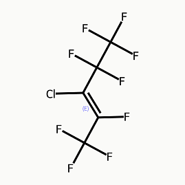 F/C(=C(/Cl)C(F)(F)C(F)(F)F)C(F)(F)F